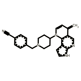 C=C1C=CN(C2CCN(Cc3ccc(C#N)cc3)CC2)c2c1cnc1[nH]ccc21